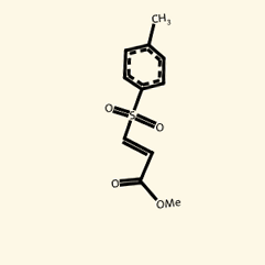 COC(=O)C=CS(=O)(=O)c1ccc(C)cc1